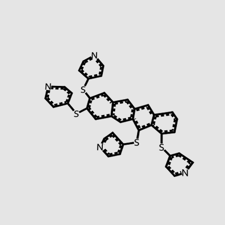 c1cc(Sc2ccncc2)c2c(Sc3ccncc3)c3cc4cc(Sc5ccncc5)c(Sc5ccncc5)cc4cc3cc2c1